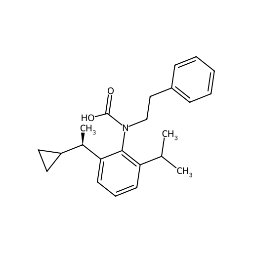 CC(C)c1cccc([C@H](C)C2CC2)c1N(CCc1ccccc1)C(=O)O